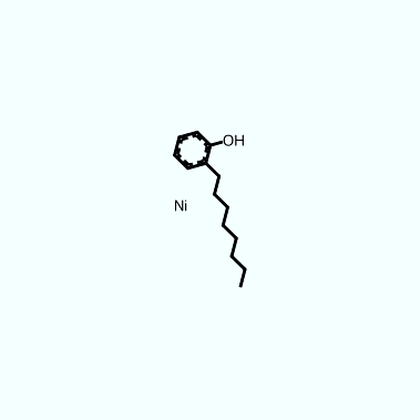 CCCCCCCCc1ccccc1O.[Ni]